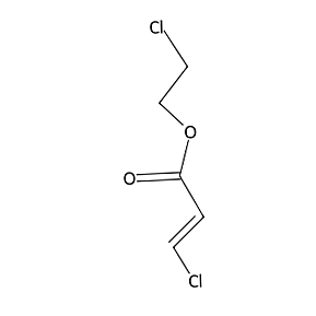 O=C(C=CCl)OCCCl